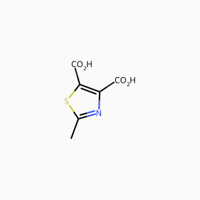 Cc1nc(C(=O)O)c(C(=O)O)s1